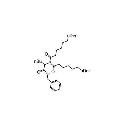 CCCCCCCCCCCCCCCC(=O)P(C(=O)CCCCCCCCCCCCCCC)C(CCCC)C(=O)OCc1ccccc1